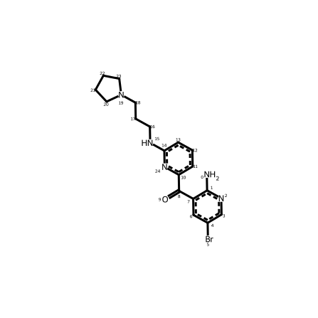 Nc1ncc(Br)cc1C(=O)c1cccc(NCCCN2CCCC2)n1